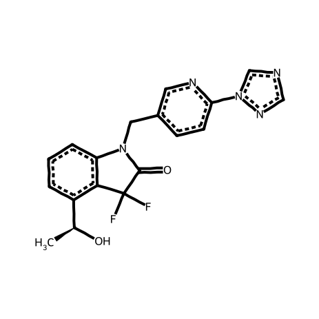 C[C@H](O)c1cccc2c1C(F)(F)C(=O)N2Cc1ccc(-n2cncn2)nc1